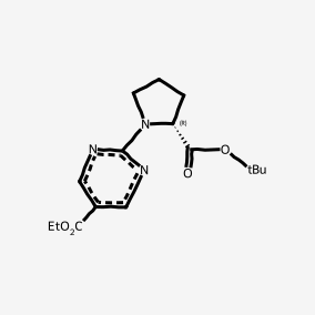 CCOC(=O)c1cnc(N2CCC[C@@H]2C(=O)OC(C)(C)C)nc1